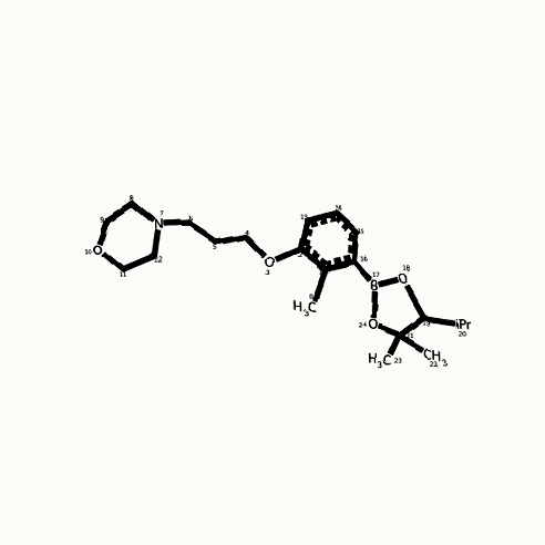 Cc1c(OCCCN2CCOCC2)cccc1B1OC(C(C)C)C(C)(C)O1